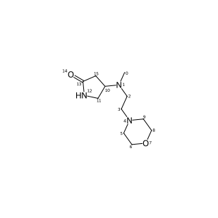 CN(CCN1CCOCC1)C1CNC(=O)C1